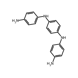 Nc1ccc(Nc2ccc(Nc3ccc(N)cc3)cc2)cc1